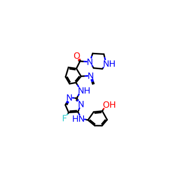 C=Nc1c(Nc2ncc(F)c(Nc3cccc(O)c3)n2)cccc1C(=O)N1CCNCC1